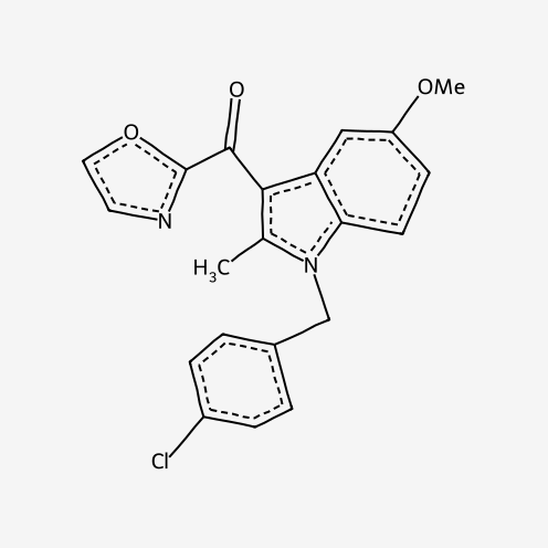 COc1ccc2c(c1)c(C(=O)c1ncco1)c(C)n2Cc1ccc(Cl)cc1